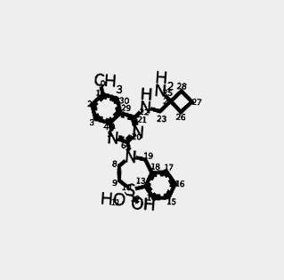 Cc1ccc2nc(N3CCS(O)(O)c4ccccc4C3)nc(NCC3(N)CCC3)c2c1